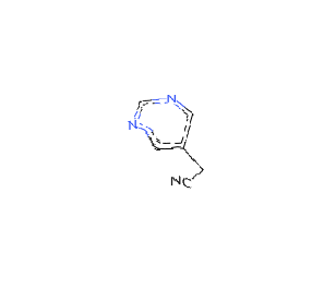 N#CCc1cncnc1